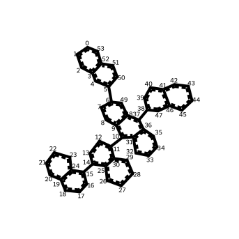 c1ccc2cc(-c3ccc4c(-c5ccc(-c6cccc7ccccc67)c6ccccc56)c5ccccc5c(-c5ccc6ccccc6c5)c4c3)ccc2c1